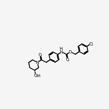 O=C(Nc1ccc(CC(=O)N2CCC[C@H](O)C2)cc1)OCc1ccc(Cl)cc1